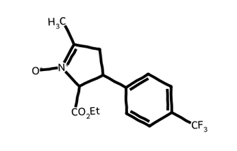 CCOC(=O)C1C(c2ccc(C(F)(F)F)cc2)CC(C)=[N+]1[O-]